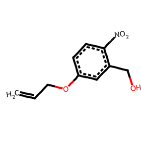 C=CCOc1ccc([N+](=O)[O-])c(CO)c1